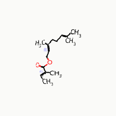 C/C=C(\C)C(=O)OC/C=C(\C)CCC=C(C)C